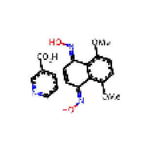 COc1ccc(OC)c2c1C(=NO)C=CC2=NO.O=C(O)c1cccnc1